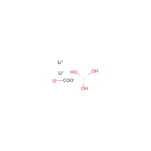 O=C([O-])[O-].OB(O)O.[Li+].[Li+]